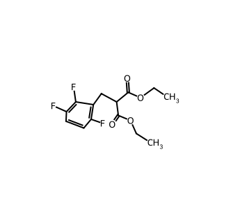 CCOC(=O)C(Cc1c(F)ccc(F)c1F)C(=O)OCC